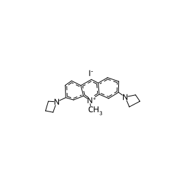 C[n+]1c2cc(N3CCC3)ccc2cc2ccc(N3CCC3)cc21.[I-]